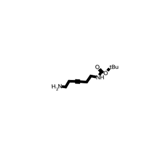 CC(C)(C)OC(=O)NCCC#CCCN